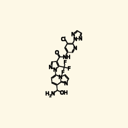 NC(O)c1ccc(-n2ncc(C(=O)Nc3cnc(-n4nccn4)c(Cl)c3)c2C(F)(F)F)n2ccnc12